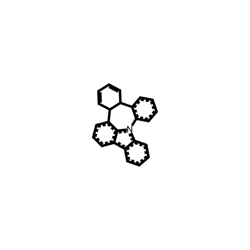 C1=CC2c3ccccc3-n3c4ccccc4c4cccc(c43)C2C=C1